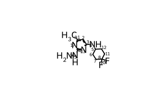 Cc1cc(NC2CCC(F)(F)CC2)nc(NN)n1